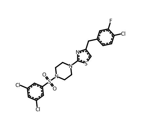 O=S(=O)(c1cc(Cl)cc(Cl)c1)N1CCN(c2nc(Cc3ccc(Cl)c(F)c3)cs2)CC1